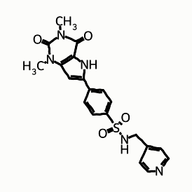 Cn1c(=O)c2[nH]c(-c3ccc(S(=O)(=O)NCc4ccncc4)cc3)cc2n(C)c1=O